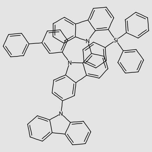 c1ccc(-c2cccc(-n3c4ccc(-n5c6ccccc6c6ccccc65)cc4c4cccc(-n5c6ccccc6c6cccc([Si](c7ccccc7)(c7ccccc7)c7ccccc7)c65)c43)c2)cc1